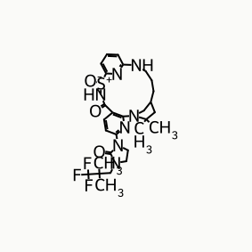 CC1(C)CC2CCCNc3cccc(n3)[S+]([O-])NC(=O)c3ccc(N4CCN(CC(C)(C)C(F)(F)F)C4=O)nc3N1C2